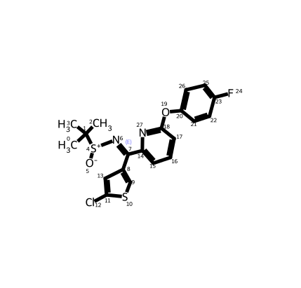 CC(C)(C)[S+]([O-])/N=C(\c1csc(Cl)c1)c1cccc(Oc2ccc(F)cc2)n1